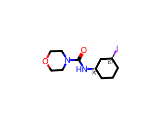 O=C(N[C@@H]1CCC[C@H](I)C1)N1CCOCC1